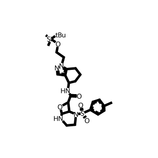 Cc1ccc(S(=O)(=O)N2CCNC3OC(C(=O)NC4CCCc5c4cnn5CCO[Si](C)(C)C(C)(C)C)C32)cc1